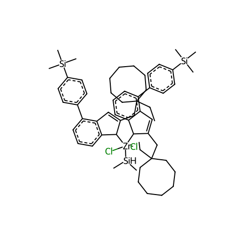 CCC1(CC2=Cc3c(-c4ccc([Si](C)(C)C)cc4)cccc3[CH]2[Zr]([Cl])([Cl])([CH]2C(CC3(CC)CCCCCCC3)=Cc3c(-c4ccc([Si](C)(C)C)cc4)cccc32)[SiH](C)C)CCCCCCC1